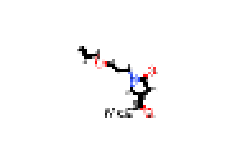 C=CCOCCCN1CC(C(=O)OC)CC1=O